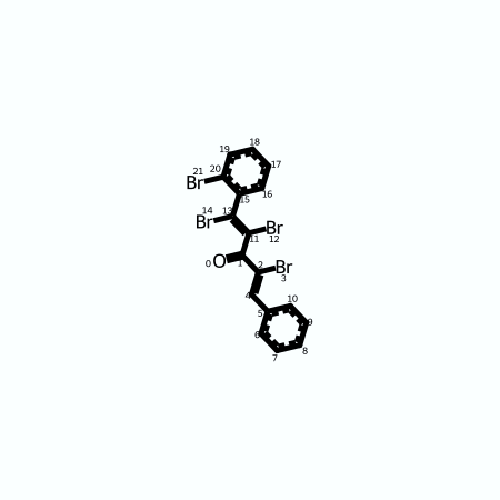 O=C(C(Br)=Cc1ccccc1)C(Br)=C(Br)c1ccccc1Br